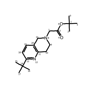 CC(C)(C)OC(=O)CN1CCc2nc(C(C)(C)C)ccc2C1